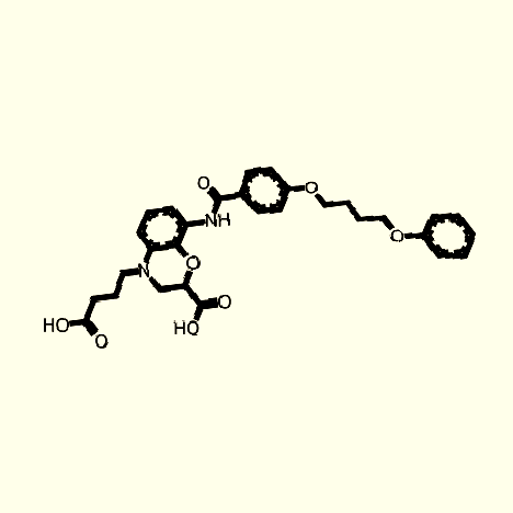 O=C(O)CCCN1CC(C(=O)O)Oc2c(NC(=O)c3ccc(OCCCCOc4ccccc4)cc3)cccc21